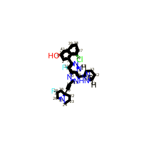 Oc1cc(-c2nnc3c(N4C[C@H]5CC[C@@H]4CN5)nc(C#C[C@@]45CCCN4C[C@H](F)C5)nc3c2F)c2c(Cl)cccc2c1